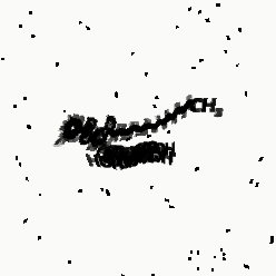 CCCCCCCCCCCCCCCC(=O)N1C[C@H](OC(=O)c2ccccc2)C[C@H]1COP(=O)(O)OP(=O)(O)OP(=O)(O)OP(=O)(O)O